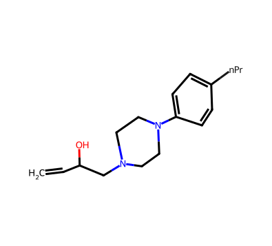 C=CC(O)CN1CCN(c2ccc(CCC)cc2)CC1